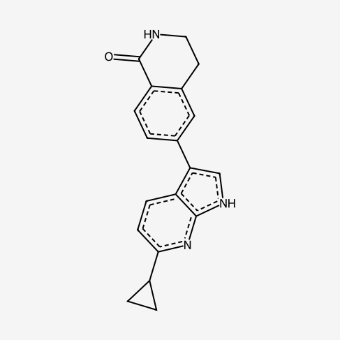 O=C1NCCc2cc(-c3c[nH]c4nc(C5CC5)ccc34)ccc21